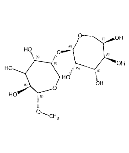 CO[C@H]1OC[C@@H](O[C@H]2OC[C@@H](O)[C@@H](O)[C@H](O)[C@@H]2O)[C@@H](O)C(O)[C@@H]1O